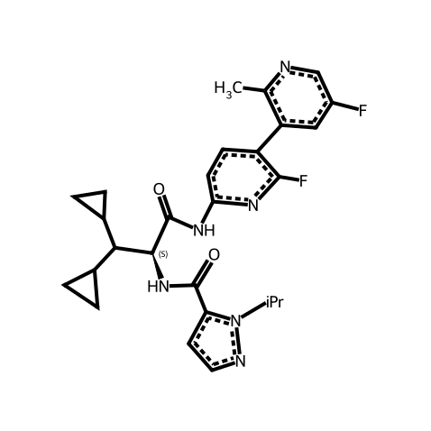 Cc1ncc(F)cc1-c1ccc(NC(=O)[C@@H](NC(=O)c2ccnn2C(C)C)C(C2CC2)C2CC2)nc1F